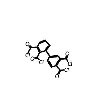 O=C(Cl)c1ccc(-c2cccc(C(=O)Cl)c2C(=O)Cl)cc1C(=O)Cl